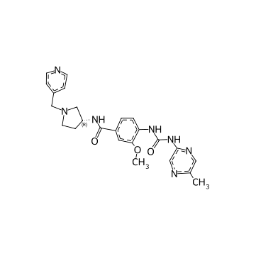 COc1cc(C(=O)N[C@@H]2CCN(Cc3ccncc3)C2)ccc1NC(=O)Nc1cnc(C)cn1